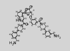 C[C@]1(COc2cccc(C(=O)N3CCC(c4cccc(CN)c4)CC3)c2)OB(c2cccc3[nH]c(C(=O)N4CCC(c5cccc(CN)c5)CC4)cc23)OC1=O